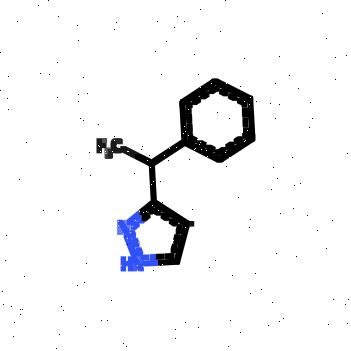 FC(F)(F)C(c1ccccc1)c1[c]c[nH]n1